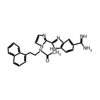 CC(=O)N(CCc1cccc2ccccc12)n1ccnc1-c1nc2cc(C(=N)N)ccc2[nH]1